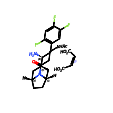 CC(=O)NCCC(=O)N1[C@@H]2CC[C@H]1C[C@H]([C@H](N)Cc1cc(F)c(F)cc1F)C2.O=C(O)/C=C\C(=O)O